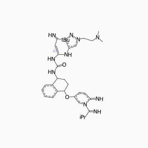 CC(C)C(=N)n1cc(OC2CCC(NC(=O)N/C(=C/C(=N)C(C)(C)C)Nc3cnn(CCN(C)C)c3)c3ccccc32)ccc1=N